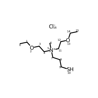 CCOCC[N+](C)(CCCS)CCOCC.[Cl-]